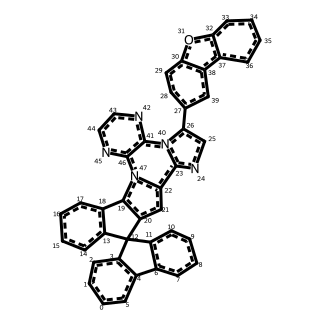 c1ccc2c(c1)-c1ccccc1C21c2ccccc2-c2c1cc1c3ncc(-c4ccc5oc6ccccc6c5c4)n3c3nccnc3n21